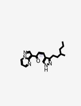 CCCC(C)CCc1n[nH]cc1/C=C\C(=O)c1cnn2cccnc12